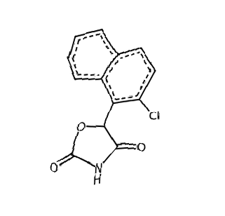 O=C1NC(=O)C(c2c(Cl)ccc3ccccc23)O1